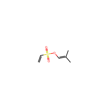 C=CS(=O)(=O)OC=C(C)C